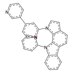 c1ccc(-n2c3ccccc3c3ccc4ccn(-c5cc(-c6cccnc6)ccn5)c4c32)cc1